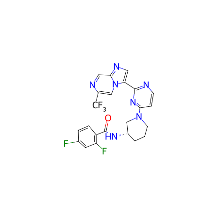 O=C(N[C@H]1CCCN(c2ccnc(-c3cnc4cnc(C(F)(F)F)cn34)n2)C1)c1ccc(F)cc1F